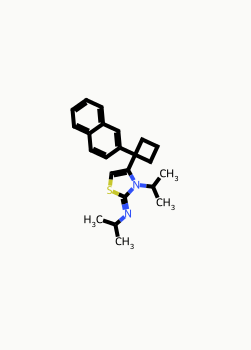 CC(C)N=c1scc(C2(c3ccc4ccccc4c3)CCC2)n1C(C)C